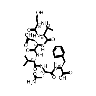 CC(C)[C@H](NC(=O)[C@H](CC(=O)O)NC(=O)[C@@H](NC(=O)[C@@H](N)CO)C(C)C)C(=O)N[C@@H](CC(N)=O)C(=O)N[C@@H](Cc1ccccc1)C(=O)O